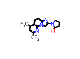 O=C1CCCN1c1cn2c(ccc3c(C(F)(F)F)cc(C(F)(F)F)nc32)n1